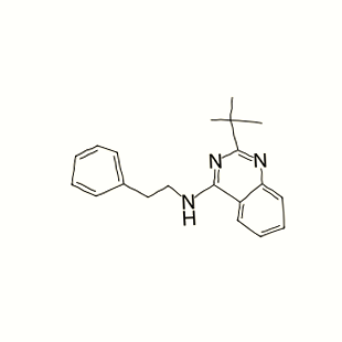 CC(C)(C)c1nc(NCCc2ccccc2)c2ccccc2n1